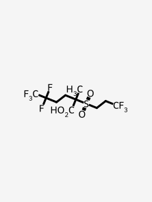 CC(CCC(F)(F)C(F)(F)F)(C(=O)O)S(=O)(=O)CCC(F)(F)F